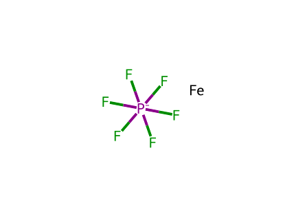 F[P-](F)(F)(F)(F)F.[Fe]